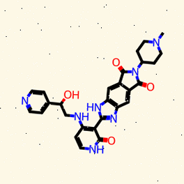 CN1CCC(N2C(=O)c3cc4nc(-c5c(NCC(O)c6ccncc6)cc[nH]c5=O)[nH]c4cc3C2=O)CC1